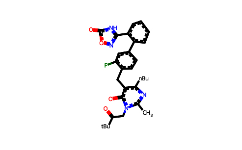 CCCCc1nc(C)n(CC(=O)C(C)(C)C)c(=O)c1Cc1ccc(-c2ccccc2-c2noc(=O)[nH]2)cc1F